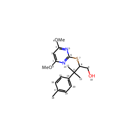 COc1cc(OC)nc(SC(CO)C(C)(C)c2ccc(C)cc2)n1